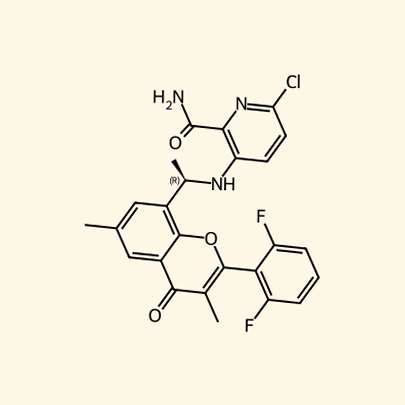 Cc1cc([C@@H](C)Nc2ccc(Cl)nc2C(N)=O)c2oc(-c3c(F)cccc3F)c(C)c(=O)c2c1